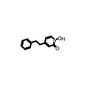 O=c1cc(CCc2ccccc2)ccn1O